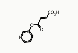 O=C(O)C=CC(=O)Oc1cccnc1